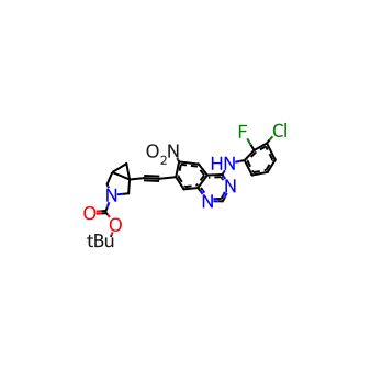 CC(C)(C)OC(=O)N1CC2CC2(C#Cc2cc3ncnc(Nc4cccc(Cl)c4F)c3cc2[N+](=O)[O-])C1